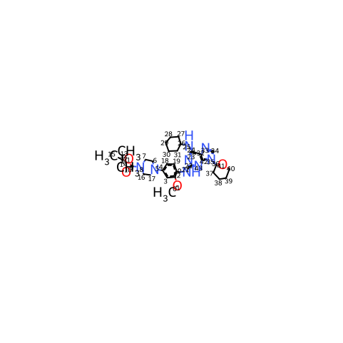 COc1cc(N2CCN(C(=O)OC(C)(C)C)CC2)ccc1Nc1nc(NC2CCCCC2)c2ncn(C3CCCCO3)c2n1